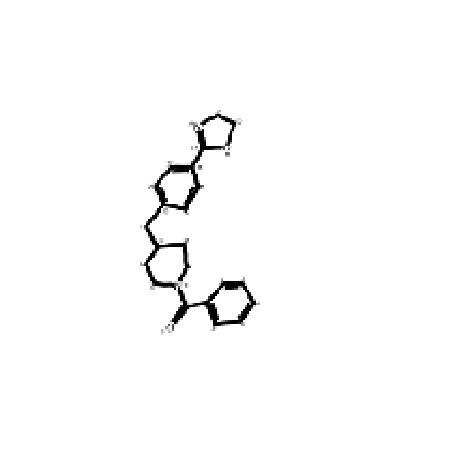 O=C(c1ccccc1)N1CCC(Cc2ccc(C3=NCCO3)cc2)CC1